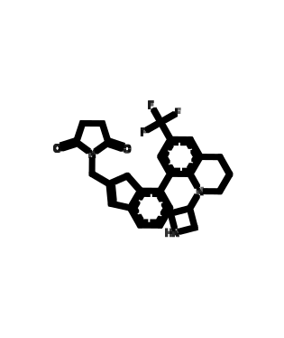 O=C1CCC(=O)N1CC1=Cc2cccc(-c3cc(C(F)(F)F)cc4c3N(C3CNC3)CCC4)c2C1